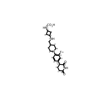 O=C(O)NC1CC(NCC2CCN(c3ccc(C4CCC(=O)NC4=O)cc3F)CC2)C1